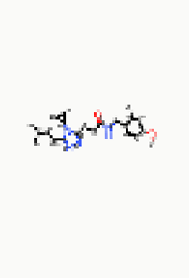 COc1ccc(CNC(=O)CCc2nnc(CCC(C)C)n2C2CC2)c(C)c1